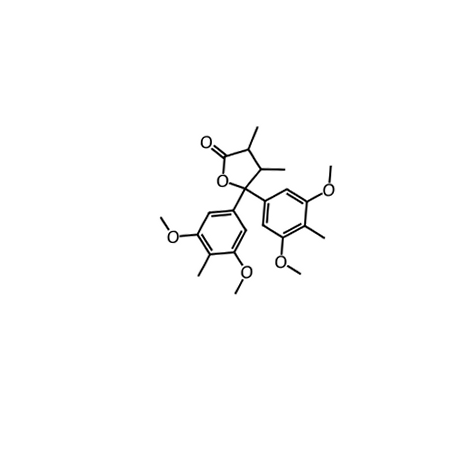 COc1cc(C2(c3cc(OC)c(C)c(OC)c3)OC(=O)C(C)C2C)cc(OC)c1C